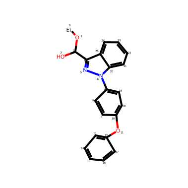 CCOC(O)c1nn(-c2ccc(Oc3ccccc3)cc2)c2ccccc12